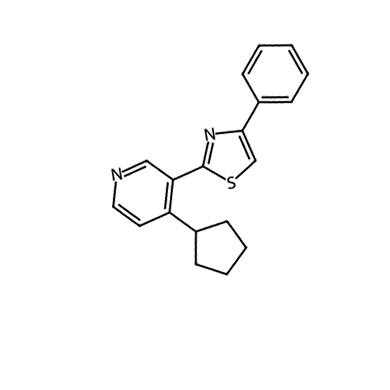 c1ccc(-c2csc(-c3cnccc3C3CCCC3)n2)cc1